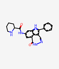 O=C1NN=Cc2c(-c3ccccc3)[nH]c3cc(NC(=O)C4CCCCN4)cc1c23